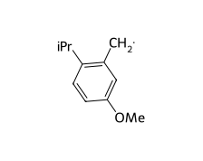 [CH2]c1cc(OC)ccc1C(C)C